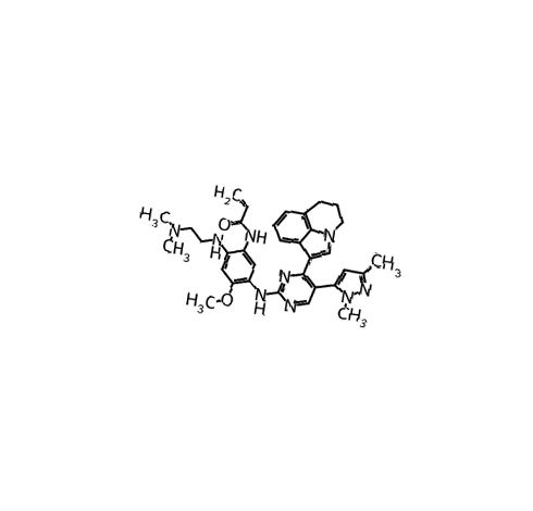 C=CC(=O)Nc1cc(Nc2ncc(-c3cc(C)nn3C)c(-c3cn4c5c(cccc35)CCC4)n2)c(OC)cc1NCCN(C)C